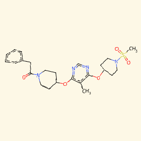 Cc1c(OC2CCN(C(=O)Cc3ccccc3)CC2)ncnc1OC1CCN(S(C)(=O)=O)CC1